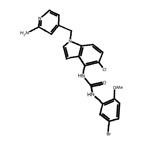 COc1ccc(Br)cc1NC(=O)Nc1c(Cl)ccc2c1ccn2Cc1ccnc(N)c1